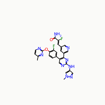 Cc1ccnc(Oc2ccc(-c3cnc(Nc4cnn(C)c4)nc3-c3cncc(C=C(F)C(N)=O)c3)cc2F)n1